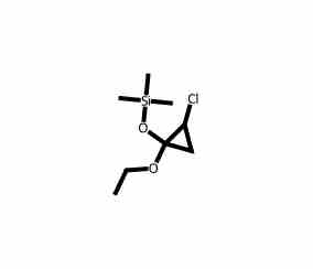 CCOC1(O[Si](C)(C)C)CC1Cl